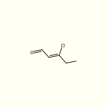 CC/C(Cl)=C/C=O